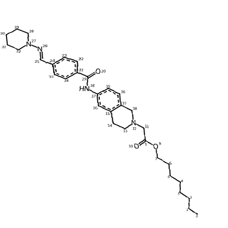 CCCCCCCCOC(=O)CN1CCc2cc(NC(=O)c3ccc(C=NN4CCCCC4)cc3)ccc2C1